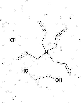 C=CC[N+](CC=C)(CC=C)CC=C.OCCO.[Cl-]